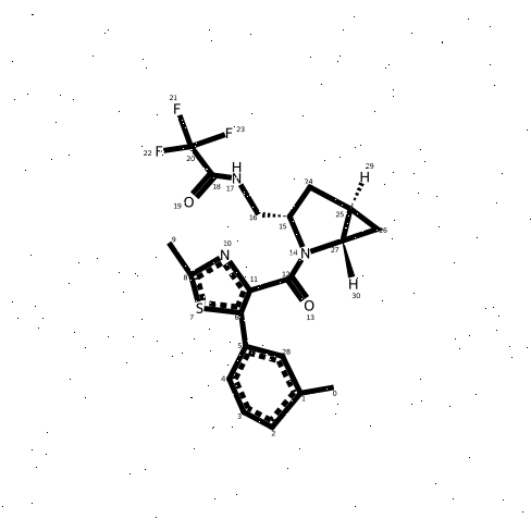 Cc1cccc(-c2sc(C)nc2C(=O)N2[C@H](CNC(=O)C(F)(F)F)C[C@H]3C[C@@H]32)c1